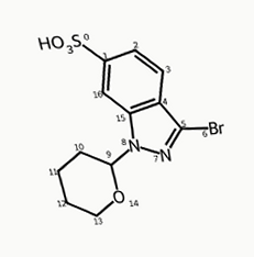 O=S(=O)(O)c1ccc2c(Br)nn(C3CCCCO3)c2c1